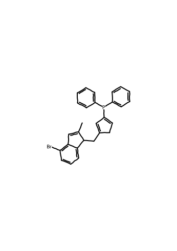 CC1=Cc2c(Br)cccc2C1CC1=CC(P(c2ccccc2)c2ccccc2)=CC1